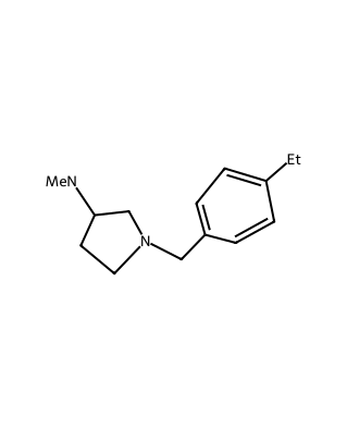 CCc1ccc(CN2CCC(NC)C2)cc1